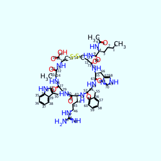 CCCC[C@H](NC(C)=O)C(=O)N[C@H]1CSSC[C@@H](C(=O)O)NC(=O)[C@@H](C)NC(=O)[C@@H](Cc2c[nH]c3ccccc23)NC(=O)[C@H](CCCNC(=N)N)NC(=O)[C@@H](Cc2ccccc2)NC(=O)[C@H](Cc2c[nH]cn2)NC1=O